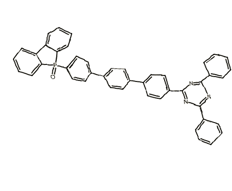 O=P1(c2ccc(-c3ccc(-c4ccc(-c5nc(-c6ccccc6)nc(-c6ccccc6)n5)cc4)cc3)cc2)c2ccccc2-c2ccccc21